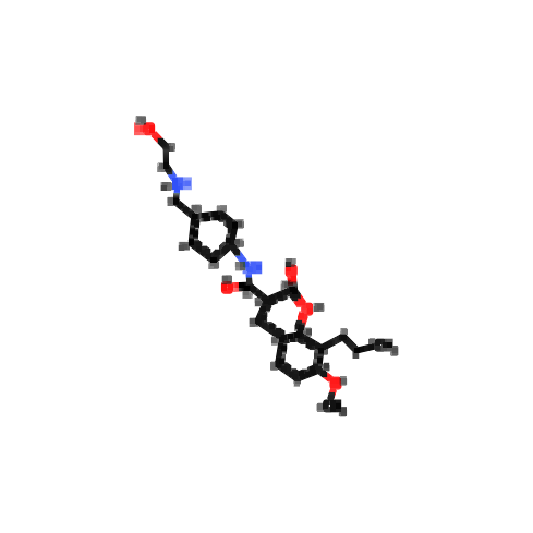 CCCc1c(OC)ccc2cc(C(=O)Nc3ccc(CNCCO)cc3)c(=O)oc12